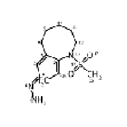 C\C=C1/C(=C\C=N\N)CCCCCN1S(C)(=O)=O